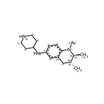 CC(=O)N1c2ccc(NC3CCNCC3)cc2C[C@@H](C)[C@@H]1C